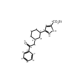 CCOC(=O)c1cc(C2CCCN(CC(=O)c3ccccc3)C2)ns1